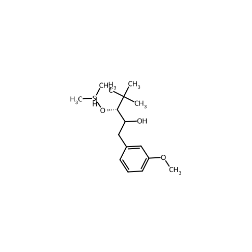 COc1cccc(CC(O)[C@H](O[SiH](C)C)C(C)(C)C)c1